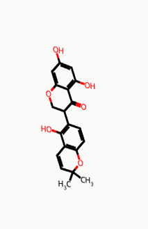 CC1(C)C=Cc2c(ccc(C3COc4cc(O)cc(O)c4C3=O)c2O)O1